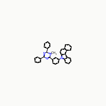 CN1C(c2cccc(-n3c4ccccc4c4c5ccccc5ccc43)c2)=NC(c2ccccc2)=NC1c1ccccc1